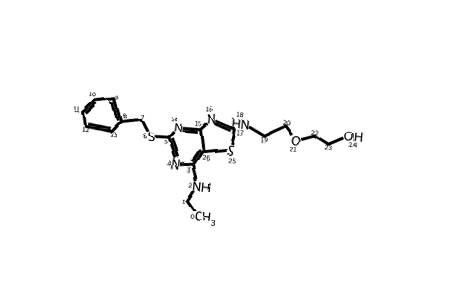 CCNc1nc(SCc2ccccc2)nc2nc(NCCOCCO)sc12